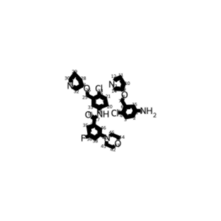 Nc1ccc(Cl)c(COc2cccnc2)c1.O=C(Nc1ccc(Cl)c(COc2cccnc2)c1)c1cc(F)cc(N2CCOCC2)c1